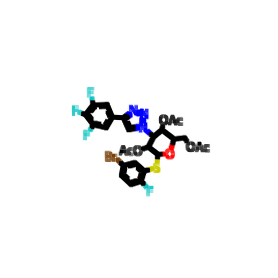 CC(=O)OCC1OC(Sc2cc(Br)ccc2F)C(OC(C)=O)C(n2cc(-c3cc(F)c(F)c(F)c3)nn2)C1OC(C)=O